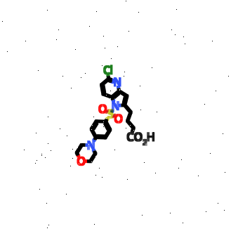 O=C(O)CCCc1cc2nc(Cl)ccc2n1S(=O)(=O)c1ccc(N2CCOCC2)cc1